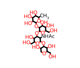 CC(=O)NC1C(OC2C(O)COC(CO)C2O)OC(CO)C(O)C1OC1OC(CO)C(O)C(O)C1OC1OC(C)C(O)C(O)C1O